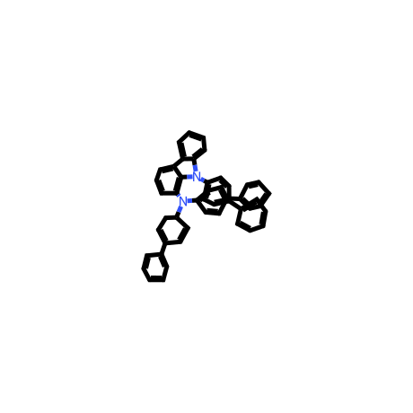 C1=CC(N(c2ccc(-c3ccccc3)cc2)c2cccc3c4ccccc4n(-c4ccc(-c5ccccc5)cc4)c23)CC=C1c1ccccc1